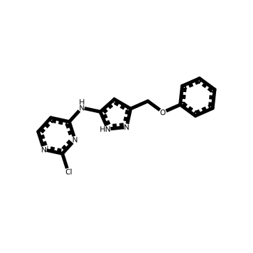 Clc1nccc(Nc2cc(COc3ccccc3)n[nH]2)n1